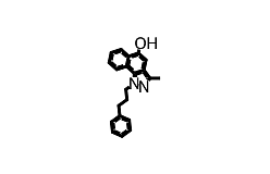 Cc1nn(CCCc2ccccc2)c2c1cc(O)c1ccccc12